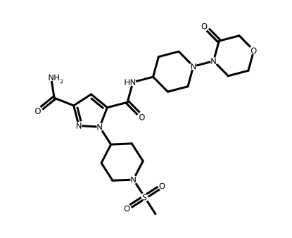 CS(=O)(=O)N1CCC(n2nc(C(N)=O)cc2C(=O)NC2CCN(N3CCOCC3=O)CC2)CC1